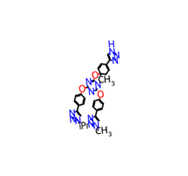 CC(C)n1cc(-c2ccc(Oc3nc(Oc4ccc(-c5cn(C)nn5)cc4)nc(OC4(C)C=CC(c5c[nH]nn5)=CC4)n3)cc2)nn1